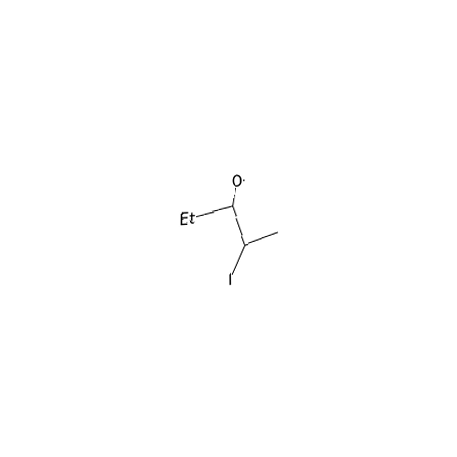 CCC([O])C(C)I